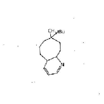 CC(C)(C)C1(C)CCCC2C=CC=NC2CC1